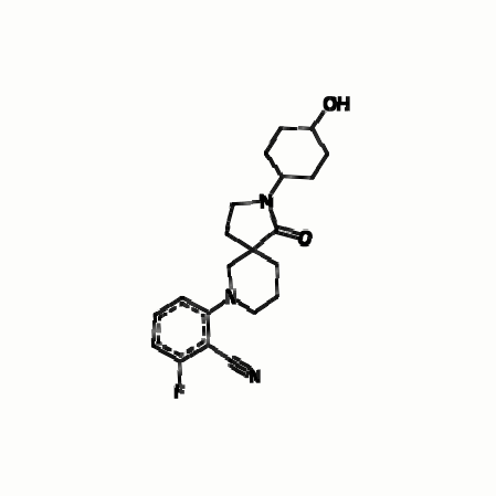 N#Cc1c(F)cccc1N1CCCC2(CCN(C3CCC(O)CC3)C2=O)C1